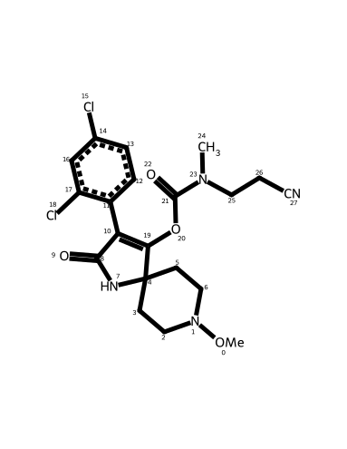 CON1CCC2(CC1)NC(=O)C(c1ccc(Cl)cc1Cl)=C2OC(=O)N(C)CCC#N